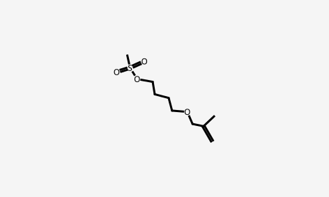 C=C(C)COCCCCOS(C)(=O)=O